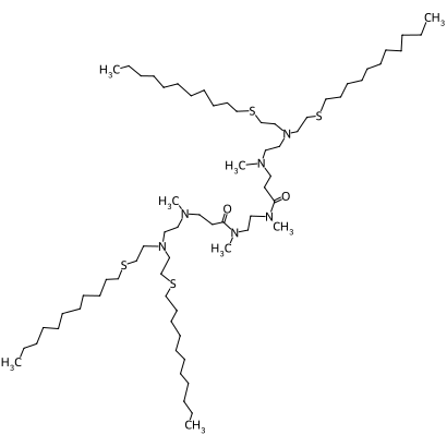 CCCCCCCCCCCSCCN(CCSCCCCCCCCCCC)CCN(C)CCC(=O)N(C)CCN(C)C(=O)CCN(C)CCN(CCSCCCCCCCCCCC)CCSCCCCCCCCCCC